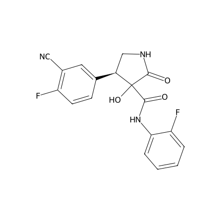 N#Cc1cc([C@H]2CNC(=O)C2(O)C(=O)Nc2ccccc2F)ccc1F